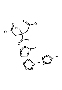 C[n+]1ccsc1.C[n+]1ccsc1.C[n+]1ccsc1.O=C([O-])CC(O)(CC(=O)[O-])C(=O)[O-]